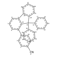 N#Cc1ccc(-c2cccc3c2C(c2ccccc2)(c2ccccc2)c2ccccc2-3)cc1